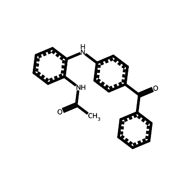 CC(=O)Nc1ccccc1Nc1ccc(C(=O)c2ccccc2)cc1